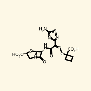 Nc1nc(/C(=N/OC2(C(=O)O)CCC2)C(=O)N[C@@H]2C(=O)N3C[C@H](C(=O)O)SC23)ns1